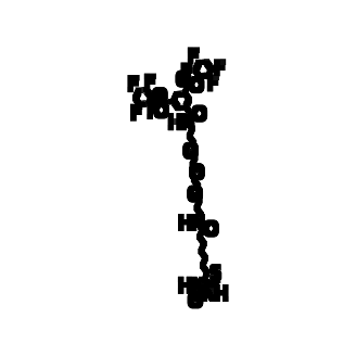 O=C(CCCCCC1SCC2NC(=O)NC21)NCCCOCCOCCOCCCNC(=O)c1cc(C(=O)Oc2c(F)c(F)cc(F)c2F)cc(C(=O)Oc2c(F)c(F)cc(F)c2F)c1